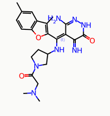 Cc1ccc2oc(/C(NC3CCN(C(=O)CN(C)C)C3)=C3/C(=N)C(=O)NN=C3N)c(C)c2c1